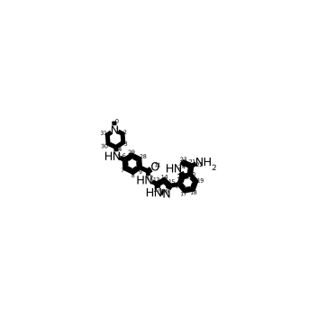 CN1CCC(Nc2ccc(C(=O)Nc3cc(-c4cccc5c(N)c[nH]c45)n[nH]3)cc2)CC1